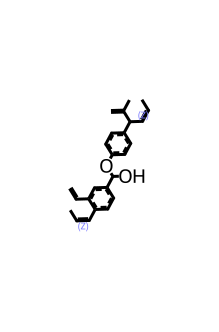 C=Cc1cc(C(O)Oc2ccc(C(/C=C\C)C(=C)C)cc2)ccc1/C=C\C